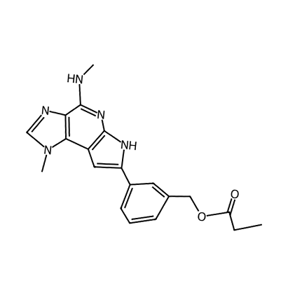 CCC(=O)OCc1cccc(-c2cc3c(nc(NC)c4ncn(C)c43)[nH]2)c1